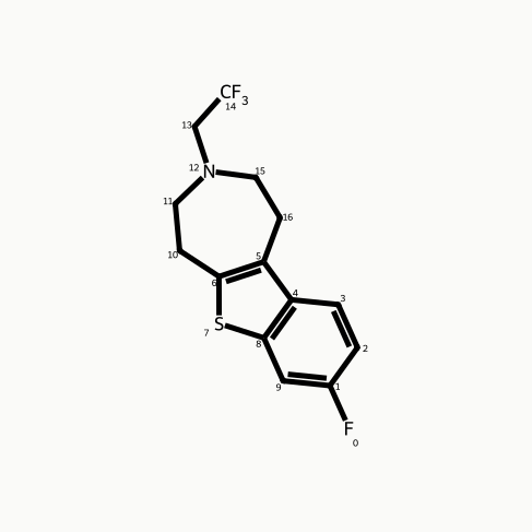 Fc1ccc2c3c(sc2c1)CCN(CC(F)(F)F)CC3